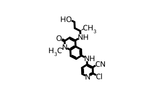 C[C@@H](CCO)Nc1cc(=O)n(C)c2ccc(Nc3ccnc(Cl)c3C#N)cc12